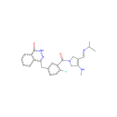 CNC1=C(/C=N/C(C)C)CN(C(=O)c2cc(Cc3n[nH]c(=O)c4ccccc34)ccc2F)C1